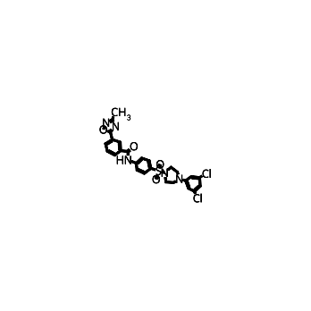 Cc1noc(-c2cccc(C(=O)Nc3ccc(S(=O)(=O)N4CCN(c5cc(Cl)cc(Cl)c5)CC4)cc3)c2)n1